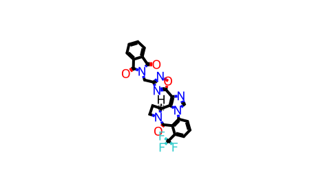 O=C1c2ccccc2C(=O)N1Cc1noc(-c2ncn3c2[C@@H]2CCN2C(=O)c2c-3cccc2C(F)(F)F)n1